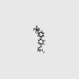 NCCN1CCC(c2cccc(OC(F)(F)F)n2)CC1